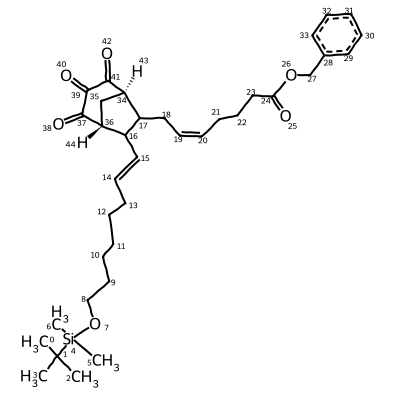 CC(C)(C)[Si](C)(C)OCCCCCCC=CC1C(C/C=C\CCCC(=O)OCc2ccccc2)[C@H]2C[C@H]1C(=O)C(=O)C2=O